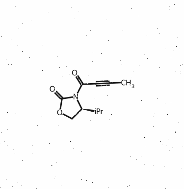 CC#CC(=O)N1C(=O)OC[C@@H]1C(C)C